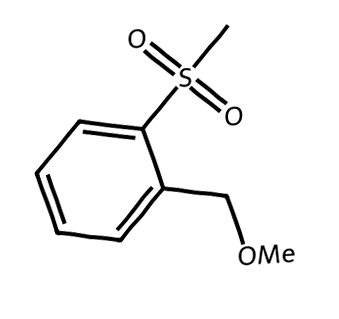 COCc1ccccc1S(C)(=O)=O